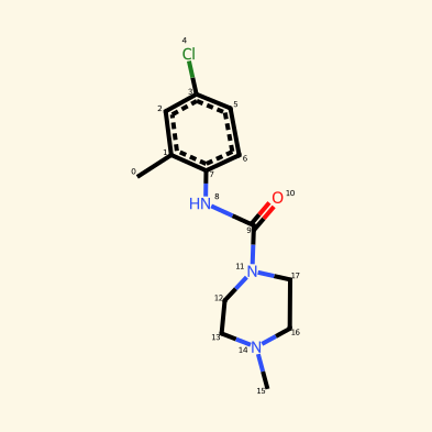 Cc1cc(Cl)ccc1NC(=O)N1CCN(C)CC1